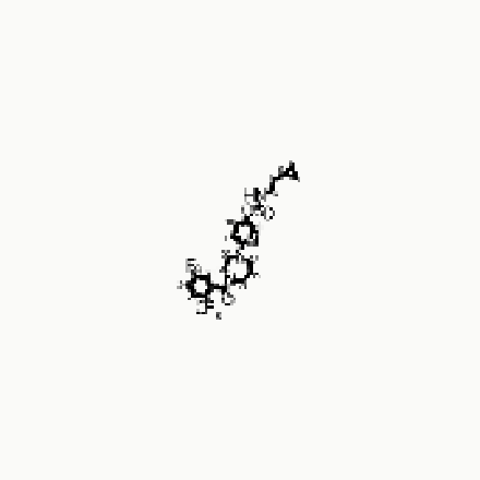 O=C(NCCC1CC1)Oc1ccc(N2CCCN(C(=O)c3cc(F)ccc3C(F)(F)F)CC2)nn1